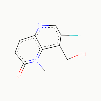 Cn1c(=O)ccc2ncc(F)c(CO)c21